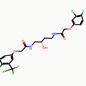 O=C(COc1ccc(F)c(F)c1)NCC[C@H](O)CNC(=O)COc1ccc(F)c(C(F)(F)F)c1